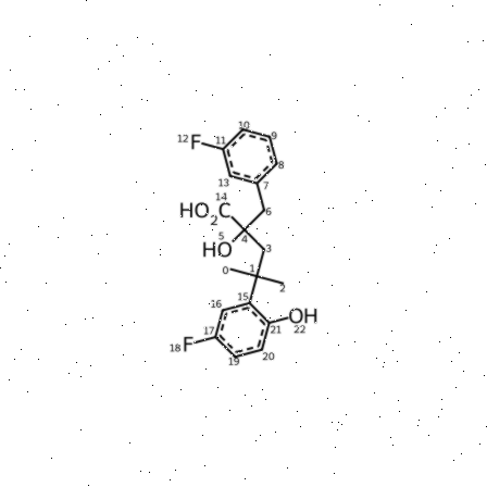 CC(C)(CC(O)(Cc1cccc(F)c1)C(=O)O)c1cc(F)ccc1O